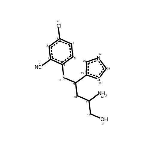 N#Cc1cc(Cl)ccc1SC(CC(N)CO)c1cncs1